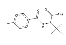 Cc1ccc(C(=O)NC(C(=O)O)C(C)(C)C)cc1